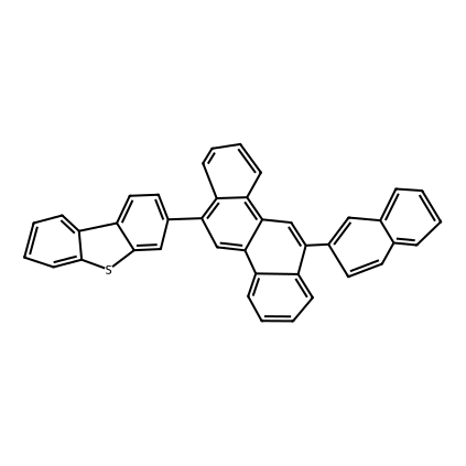 c1ccc2cc(-c3cc4c5ccccc5c(-c5ccc6c(c5)sc5ccccc56)cc4c4ccccc34)ccc2c1